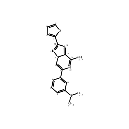 CN(C)c1cccc(-c2cn3nc(-c4ccco4)nc3c(N)n2)c1